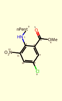 CCCCCNc1c(C(=O)OC)cc(Cl)cc1[N+](=O)[O-]